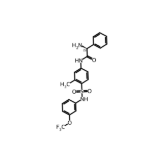 Cc1cc(NC(=O)[C@@H](N)c2ccccc2)ccc1S(=O)(=O)Nc1cccc(OC(F)(F)F)c1